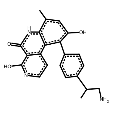 Cc1cc(O)c(-c2ccc(C(C)CN)cc2)c2c1[nH]c(=O)c1c(O)nccc12